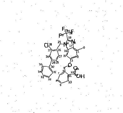 Cc1cc(OCc2ccccc2C(=O)O)cc2c1nc(C(F)(F)F)n2Cc1ccc(-c2ccccc2)cc1Cl